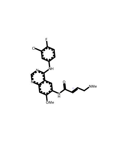 CNC/C=C/C(=O)Nc1cc2c(Nc3ccc(F)c(Cl)c3)ncnc2cc1OC